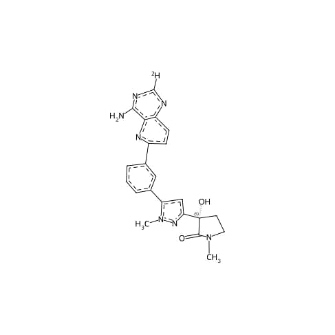 [2H]c1nc(N)c2nc(-c3cccc(-c4cc([C@@]5(O)CCN(C)C5=O)nn4C)c3)ccc2n1